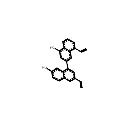 C=Cc1cc(-c2cc(O)c3cccc(C=C)c3c2)c2cc(O)ccc2c1